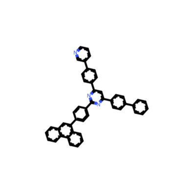 C1=C=C(c2cc3ccccc3c3ccccc23)C=CC=1c1nc(-c2ccc(-c3ccccc3)cc2)cc(-c2ccc(-c3cccnc3)cc2)n1